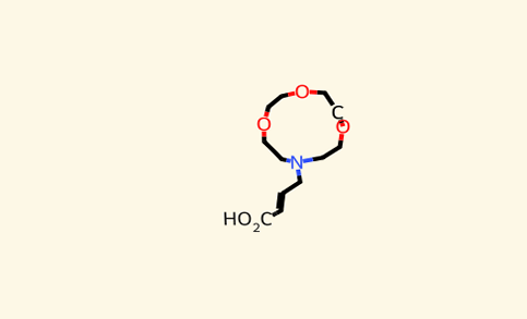 O=C(O)/C=C/CN1CCOCCOCCOCC1